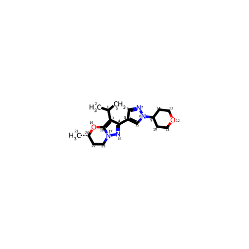 CC(C)c1c(-c2cnn(C3CCOCC3)c2)nn2c1O[C@@H](C)CC2